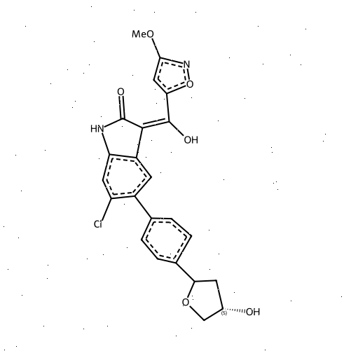 COc1cc(C(O)=C2C(=O)Nc3cc(Cl)c(-c4ccc(C5C[C@H](O)CO5)cc4)cc32)on1